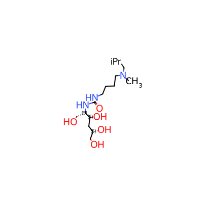 CC(C)CN(C)CCCCNC(=O)N[C@@H](CO)[C@@H](O)C[C@H](O)CO